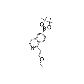 CCOC=Cc1nccc2cc(B3OC(C)(C)C(C)(C)O3)ccc12